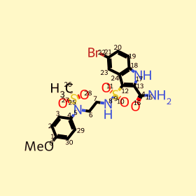 COc1ccc(N(CCNS(=O)(=O)c2c(C(N)=O)[nH]c3ccc(Br)cc23)S(C)(=O)=O)cc1